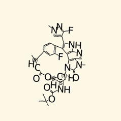 C[C@@H]1CC(=O)O[C@@H]2C[C@H](C[C@@H]2NC(=O)OC(C)(C)C)n2c(=O)n(C)c3cnc4[nH]c(-c5cn(C)nc5F)c(c4c32)-c2ccc1cc2F